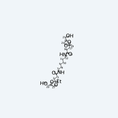 CCC1(CCC(=O)NCCCCCCNC(=O)CCC2(C)OCC(CO)O2)OCC(CO)O1